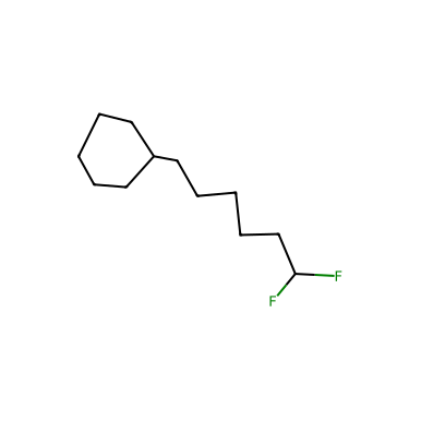 FC(F)CCCCCC1CCCCC1